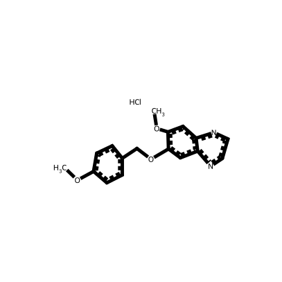 COc1ccc(COc2cc3nccnc3cc2OC)cc1.Cl